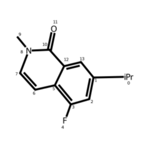 CC(C)c1cc(F)c2ccn(C)c(=O)c2c1